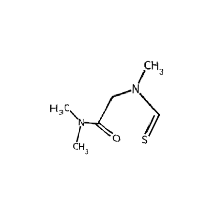 CN(C=S)CC(=O)N(C)C